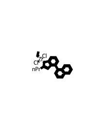 C[CH]=[Zr]([Cl])([Cl])[CH]1C(CCC)=Cc2c(-c3cccc4ccccc34)cccc21